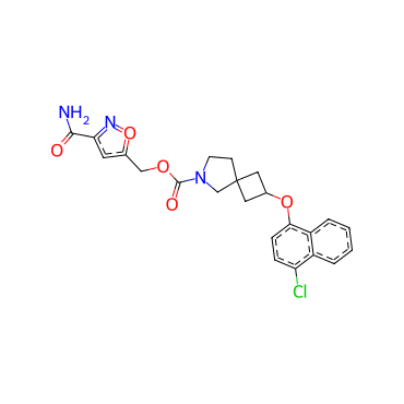 NC(=O)c1cc(COC(=O)N2CCC3(CC(Oc4ccc(Cl)c5ccccc45)C3)C2)on1